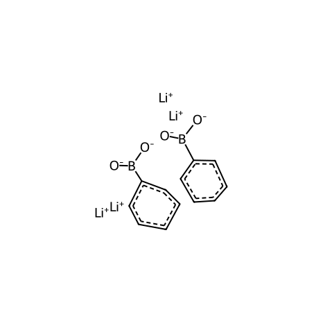 [Li+].[Li+].[Li+].[Li+].[O-]B([O-])c1ccccc1.[O-]B([O-])c1ccccc1